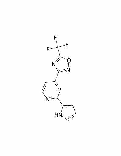 FC(F)(F)c1nc(-c2ccnc(-c3ccc[nH]3)c2)no1